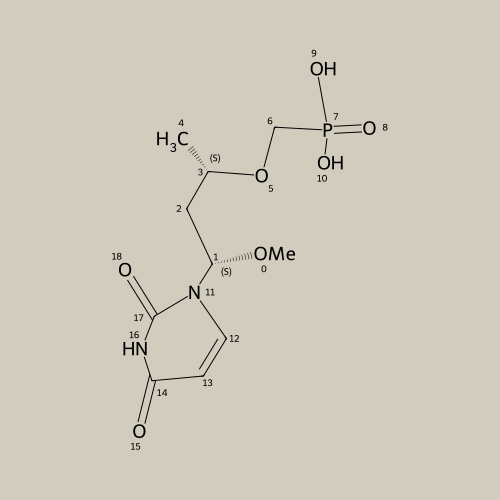 CO[C@@H](C[C@H](C)OCP(=O)(O)O)n1ccc(=O)[nH]c1=O